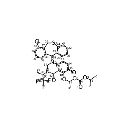 CC(C)OC(=O)OC(C)Oc1c2n(ccc1=O)N([C@@H]1c3ccccc3SCc3c(Cl)cccc31)CN([C@H](C)C(F)(F)F)C2=O